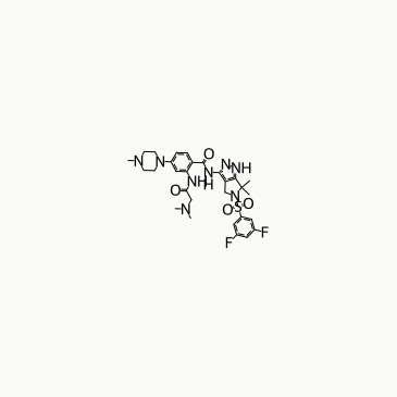 CN(C)CC(=O)Nc1cc(N2CCN(C)CC2)ccc1C(=O)Nc1n[nH]c2c1CN(S(=O)(=O)c1cc(F)cc(F)c1)C2(C)C